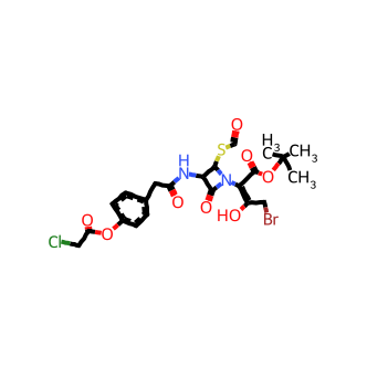 CC(C)(C)OC(=O)C(=C(O)CBr)N1C(=O)C(NC(=O)Cc2ccc(OC(=O)CCl)cc2)C1SC=O